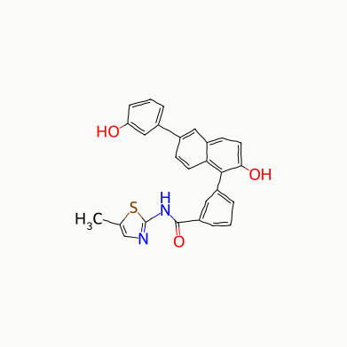 Cc1cnc(NC(=O)c2cccc(-c3c(O)ccc4cc(-c5cccc(O)c5)ccc34)c2)s1